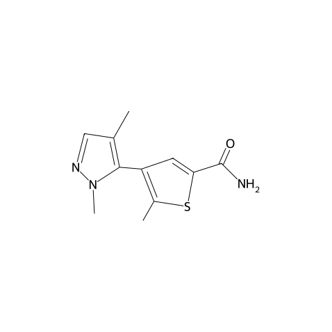 Cc1cnn(C)c1-c1cc(C(N)=O)sc1C